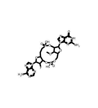 COC1C2CO[P@@](=O)(S)OC3C(CCP(=O)(O)OC1C(n1cnc4c(=O)[nH]c(N)nc41)O2)OC(n1cnc2c(N)ncnc21)C3F